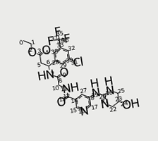 CCOC(=O)CC(NC(=O)CNC(=O)c1cncc(NC2=NCC(O)CN2)c1)c1cc(Cl)cc(C(F)(F)F)c1